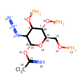 [N-]=[N+]=NC1C(OP)[C@H](OP)[C@@H](COP)O[C@@H]1OC(=N)C(Cl)(Cl)Cl